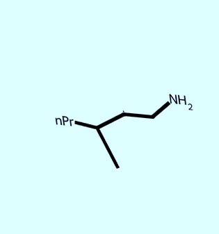 CCCC(C)[CH]CN